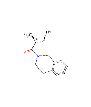 C[C@@H](CC#N)C(=O)N1CCc2ccccc2C1